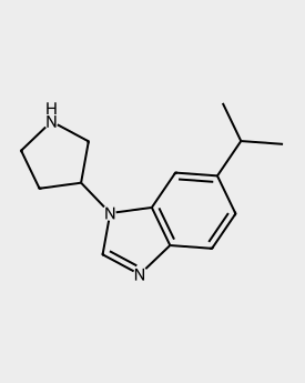 CC(C)c1ccc2ncn(C3CCNC3)c2c1